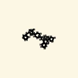 Cc1nc(Cc2ccccc2)nn1C1CCN(CC[C@H](NC(=O)C2(N)CCCC2)c2ccccc2)CC1